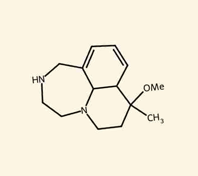 COC1(C)CCN2CCNCC3=CC=CC1C32